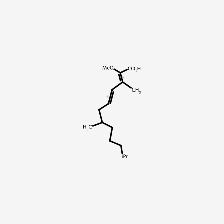 CO/C(C(=O)O)=C(C)\C=C\CC(C)CCCC(C)C